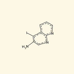 Nc1cnc2ncccc2c1I